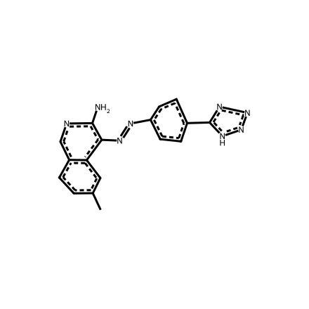 Cc1ccc2cnc(N)c(/N=N/c3ccc(-c4nnn[nH]4)cc3)c2c1